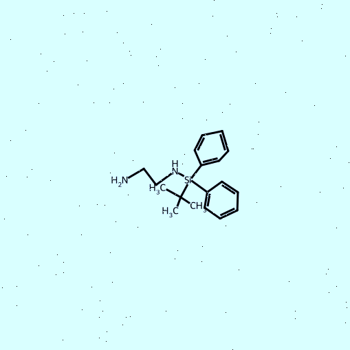 CC(C)(C)[Si](NCCN)(c1ccccc1)c1ccccc1